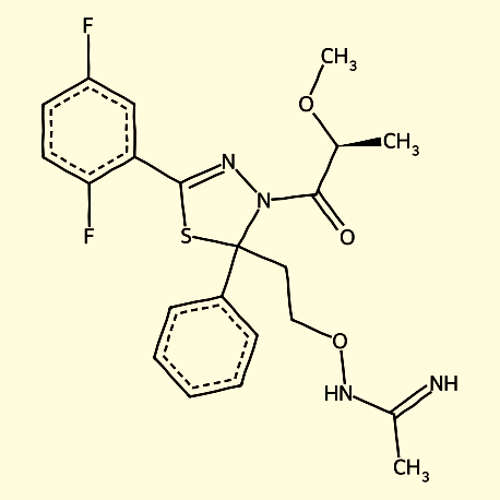 CO[C@@H](C)C(=O)N1N=C(c2cc(F)ccc2F)SC1(CCONC(C)=N)c1ccccc1